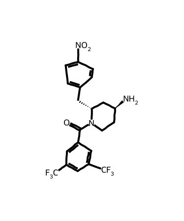 N[C@H]1CCN(C(=O)c2cc(C(F)(F)F)cc(C(F)(F)F)c2)[C@H](Cc2ccc([N+](=O)[O-])cc2)C1